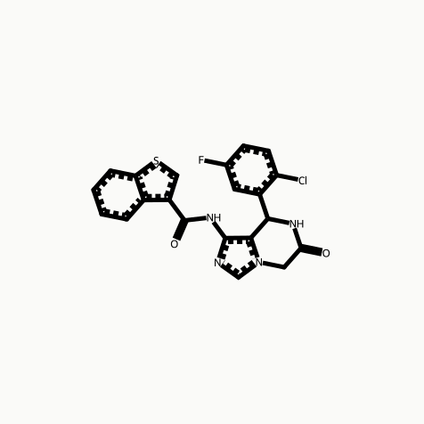 O=C1Cn2cnc(NC(=O)c3csc4ccccc34)c2C(c2cc(F)ccc2Cl)N1